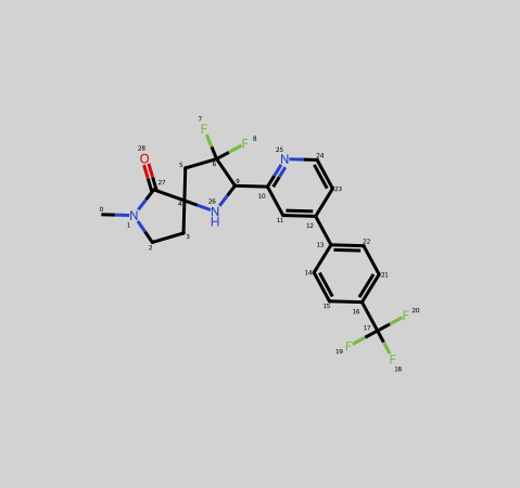 CN1CCC2(CC(F)(F)C(c3cc(-c4ccc(C(F)(F)F)cc4)ccn3)N2)C1=O